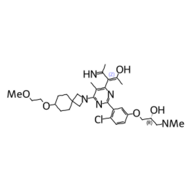 CNC[C@@H](O)COc1ccc(Cl)c(-c2nc(/C(C(C)=N)=C(\C)O)c(C)c(N3CC4(CCC(OCCOC)CC4)C3)n2)c1